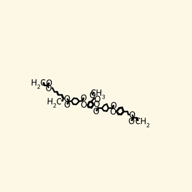 C=CC(=O)OCC/C=C/C=C(\C=C)OC(=O)C1CCC(C(=O)Oc2ccc(OC(=O)C3CCC(C(=O)Oc4ccc(CCOC(=O)C=C)cc4)CC3)c(C(=O)OC)c2)CC1